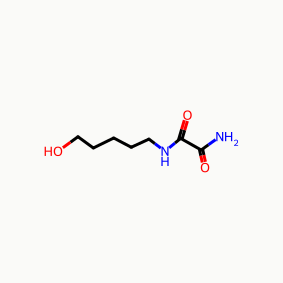 NC(=O)C(=O)NCCCCCO